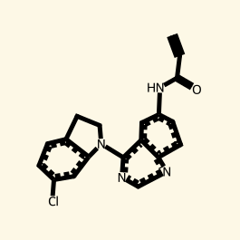 C#CC(=O)Nc1ccc2ncnc(N3CCc4ccc(Cl)cc43)c2c1